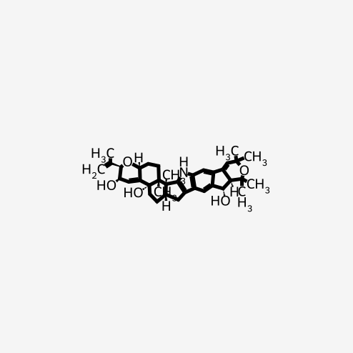 C=C(C)[C@H]1O[C@H]2CC[C@@]3(C)[C@@](O)(CC[C@H]4Cc5c([nH]c6cc7c(cc56)[C@@H](O)[C@H]5C7=CC(C)(C)OC5(C)C)[C@@]43C)C2=C[C@H]1O